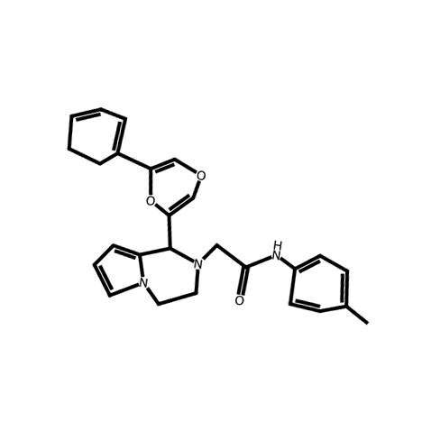 Cc1ccc(NC(=O)CN2CCn3cccc3C2C2=COC=C(C3=CC=CCC3)O2)cc1